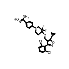 N/C(=N\O)c1ccc(N2CCC(OCc3c(-c4c(Cl)cccc4Cl)noc3C3CC3)C(F)(F)C2)cc1